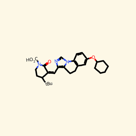 CC(C)(C)C1CCN(C(=O)O)C(=O)C1=Cc1ncn2c1CCc1cc(OC3CCCCC3)ccc1-2